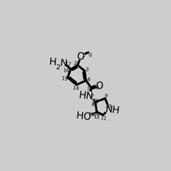 COc1cc(C(=O)N[C@@H]2CNC[C@H]2O)ccc1N